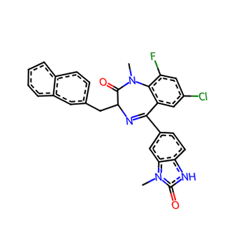 CN1C(=O)C(Cc2ccc3ccccc3c2)N=C(c2ccc3[nH]c(=O)n(C)c3c2)c2cc(Cl)cc(F)c21